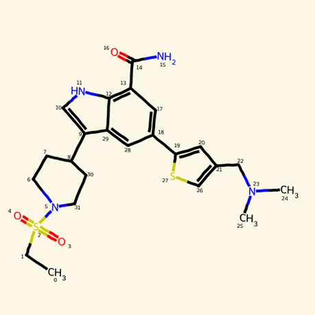 CCS(=O)(=O)N1CCC(c2c[nH]c3c(C(N)=O)cc(-c4cc(CN(C)C)cs4)cc23)CC1